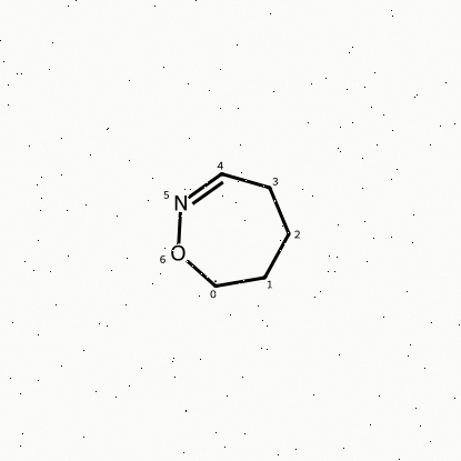 [CH]1CCCC=NO1